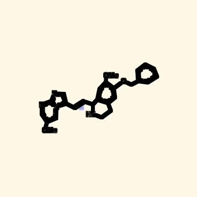 COc1cnc2ncc(/C=C/C3NCCc4cc(OCc5ccccc5)c(OC)cc43)n2c1